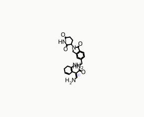 N/C=C(/C(=O)NCc1ccc2c(c1)CN(C1CCC(=O)NC1=O)C2=O)C1=C(N)CCC=C1